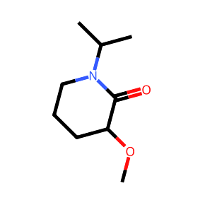 COC1CCCN(C(C)C)C1=O